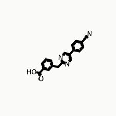 N#Cc1ccc(-c2cnc(Cc3cccc(C(=O)O)c3)nc2)cc1